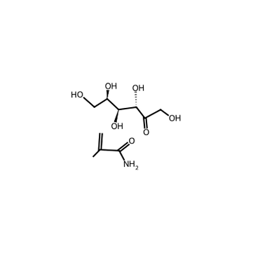 C=C(C)C(N)=O.O=C(CO)[C@@H](O)[C@@H](O)[C@H](O)CO